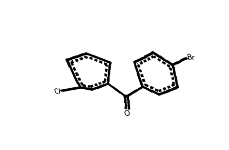 O=C(c1ccc(Br)cc1)c1cccc(Cl)c1